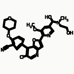 COc1cc(C(O)N(C)CCO)cnc1-c1cc2ncc(Cl)c(-c3ccc(OC4CCOCC4)c(C#N)c3)c2o1